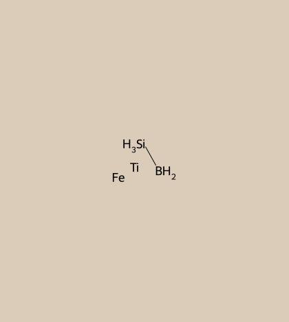 B[SiH3].[Fe].[Ti]